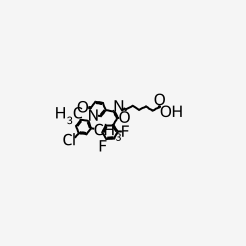 Cc1cc(Cl)cc(C)c1-n1cc(-c2nc(CCCCC(=O)O)oc2-c2ccc(F)cc2F)ccc1=O